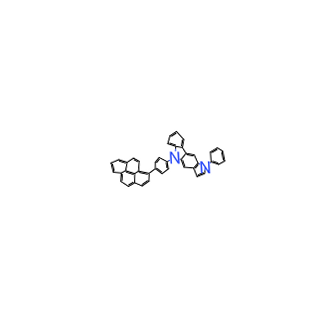 c1ccc(-n2ccc3cc4c(cc32)c2ccccc2n4-c2ccc(-c3ccc4ccc5cccc6ccc3c4c56)cc2)cc1